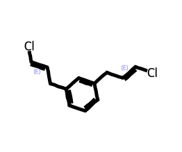 Cl/C=C/Cc1cccc(C/C=C/Cl)c1